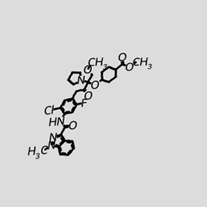 COCC(OC1CCC(C(=O)OC)CC1)(C(=O)Cc1cc(Cl)c(NC(=O)c2nn(C)c3ccccc23)cc1F)N1CCCC1